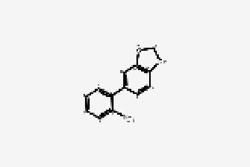 Nc1ccccc1-c1ccc2c(c1)OCO2